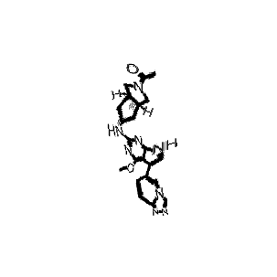 COc1nc(N[C@@H]2C[C@@H]3CN(C(C)=O)C[C@@H]3C2)nc2[nH]cc(-c3ccc4nncn4c3)c12